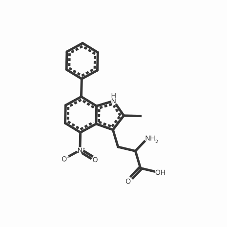 Cc1[nH]c2c(-c3ccccc3)ccc([N+](=O)[O-])c2c1CC(N)C(=O)O